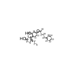 CCCN1CC[C@@H](O)C[C@H]1c1ccc(OC(C)CCCc2ccccc2)cc1O